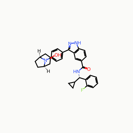 O=C(N[C@H](c1ccccc1F)C1CC1)c1ccc2[nH]nc(-c3ccc(N4[C@@H]5CC[C@H]4C[C@@H](O)C5)cc3)c2c1